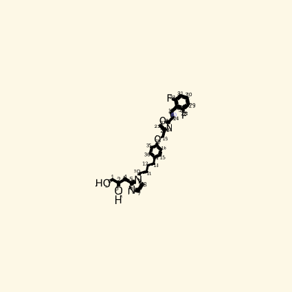 OCC(O)Cc1nccn1CCCCc1ccc(OCc2coc(/C=C/c3c(F)cccc3F)n2)cc1